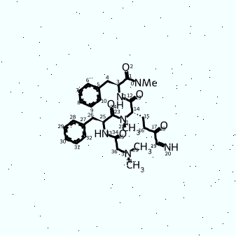 CNC(=O)[C@H](Cc1ccccc1)NC(=O)[C@H](CCC(=O)C=N)N(C)C(=O)[C@H](Cc1ccccc1)NC(=O)CN(C)C